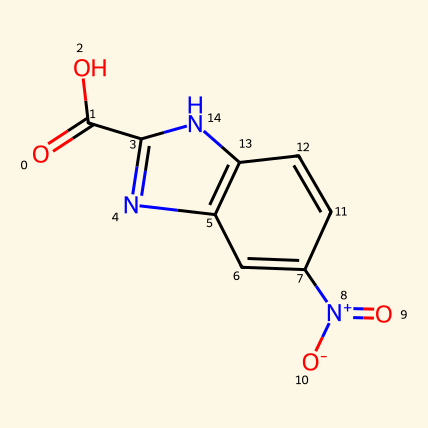 O=C(O)c1nc2cc([N+](=O)[O-])ccc2[nH]1